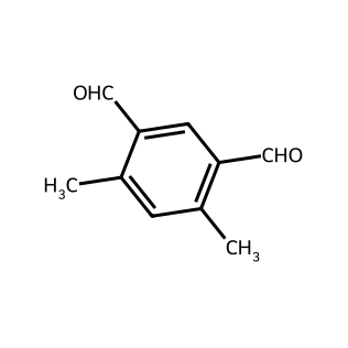 Cc1cc(C)c(C=O)cc1C=O